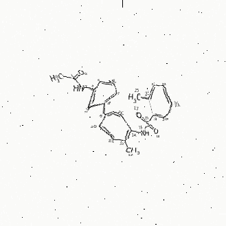 CC(=O)Nc1cncc(-c2ccc(C)c(NS(=O)(=O)c3ccccc3C)c2)c1